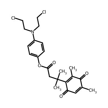 CC1=CC(=O)C(C(C)(C)CC(=O)Oc2ccc(N(CCCl)CCCl)cc2)=C(C)C1=O